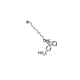 O=Cc1ccccc1C1(OCCCCCCCCCCCCBr)C=CC(C(=O)O)C=C1